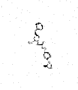 CC1CN(Cc2ccccc2)CCC1NC(=O)COc1ccc(N2CCCC2=O)cc1